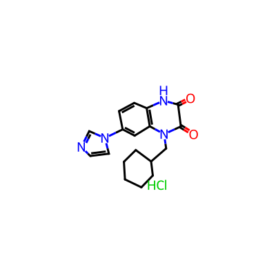 Cl.O=c1[nH]c2ccc(-n3ccnc3)cc2n(CC2CCCCC2)c1=O